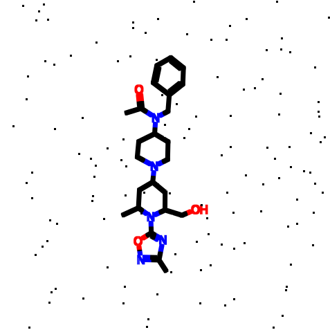 CC(=O)N(Cc1ccccc1)C1CCN(C2CC(C)N(c3nc(C)no3)C(CO)C2)CC1